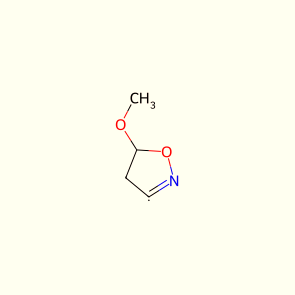 COC1C[C]=NO1